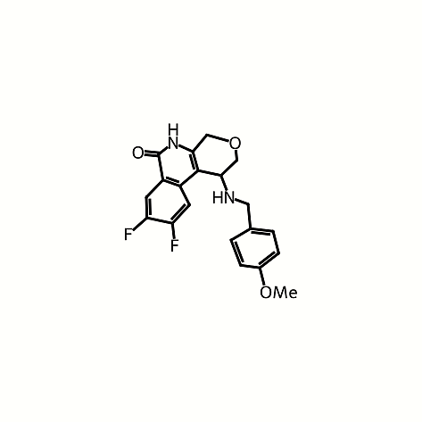 COc1ccc(CNC2COCc3[nH]c(=O)c4cc(F)c(F)cc4c32)cc1